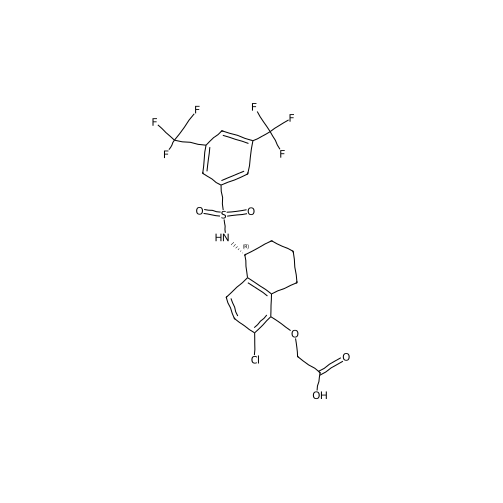 O=C(O)COc1c(Cl)ccc2c1CCC[C@H]2NS(=O)(=O)c1cc(C(F)(F)F)cc(C(F)(F)F)c1